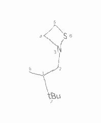 CC(CN1CCS1)C(C)(C)C